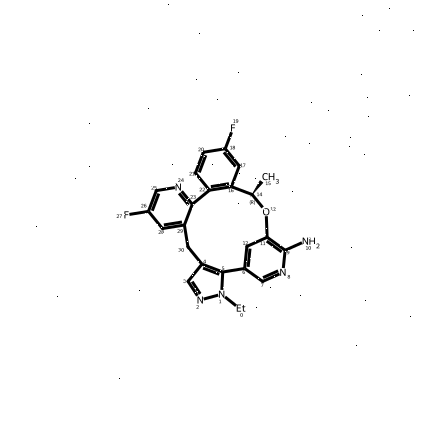 CCn1ncc2c1-c1cnc(N)c(c1)O[C@H](C)c1cc(F)ccc1-c1ncc(F)cc1C2